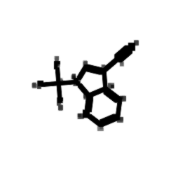 N#Cc1cn(C(F)(F)F)c2ncccc12